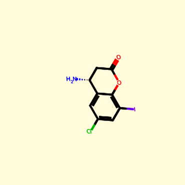 N[C@@H]1CC(=O)Oc2c(I)cc(Cl)cc21